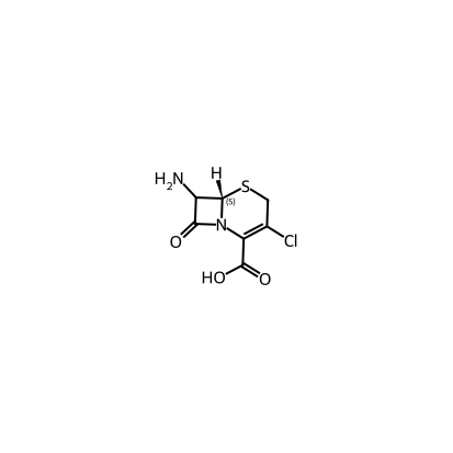 NC1C(=O)N2C(C(=O)O)=C(Cl)CS[C@@H]12